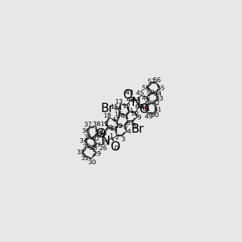 O=C1c2ccc3c4c(Br)cc5c6c(cc(Br)c(c7ccc(c2c37)C(=O)N1Cc1c2ccccc2cc2ccccc12)c64)C(=O)N(Cc1c2ccccc2cc2ccccc12)C5=O